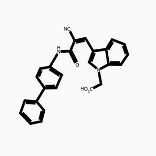 N#CC(=Cc1cn(CC(=O)O)c2ccccc12)C(=O)Nc1ccc(-c2ccccc2)cc1